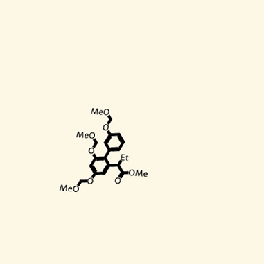 CCC(C(=O)OC)c1cc(OCOC)cc(OCOC)c1-c1cccc(OCOC)c1